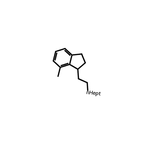 CCCCCCCCCC1CCc2cccc(C)c21